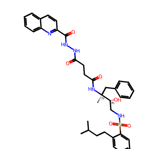 CC(C)CCc1ccccc1S(=O)(=O)NC[C@@H](O)[C@](C)(Cc1ccccc1)NC(=O)CCC(=O)NNC(=O)c1ccc2ccccc2n1